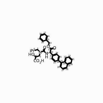 CC(C)CN(CC(O)C(=O)O)C(=O)N[C@H](C(=O)OCc1ccccc1)c1ccc(-c2cccc3ccccc23)cc1